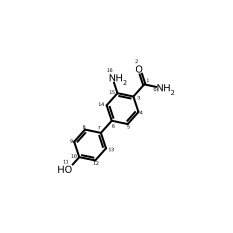 NC(=O)c1ccc(-c2ccc(O)cc2)cc1N